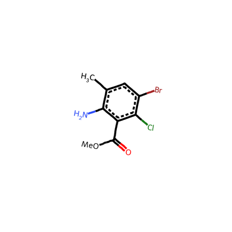 COC(=O)c1c(N)c(C)cc(Br)c1Cl